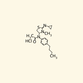 CCCCc1ccc(N(C(C)=O)C2CSC(=NC3CC3)N2C)cc1.Cl